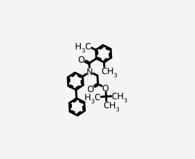 Cc1cccc(C)c1C(=O)N(CC(=O)OC(C)(C)C)c1cccc(-c2ccccc2)c1